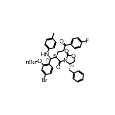 CCCCOc1cc(Br)ccc1[C@@H](Nc1ccc(C)cc1)[C@@H](CCC(=O)c1ccc(F)cc1)C(=O)N1C(=O)OC[C@@H]1Cc1ccccc1